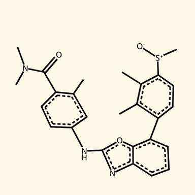 Cc1cc(Nc2nc3cccc(-c4ccc([S+](C)[O-])c(C)c4C)c3o2)ccc1C(=O)N(C)C